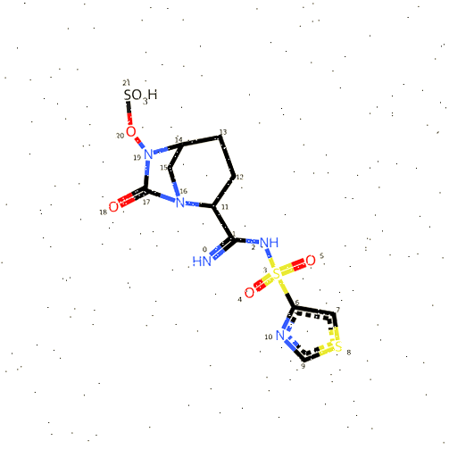 N=C(NS(=O)(=O)c1cscn1)C1CCC2CN1C(=O)N2OS(=O)(=O)O